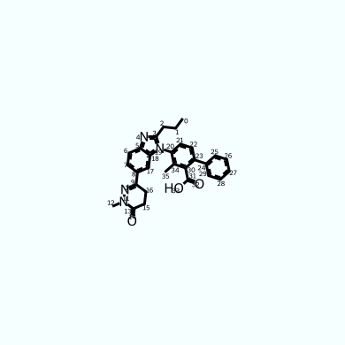 CCCc1nc2ccc(C3=NN(C)C(=O)CC3)cc2n1-c1ccc(-c2ccccc2)c(C(=O)O)c1C